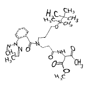 C=NN(/N=C\C)c1ccccc1C(=O)N(CCCO[Si](C)(C)C(C)(C)C)CCC(=O)NC(C(C)=O)C(=O)OC